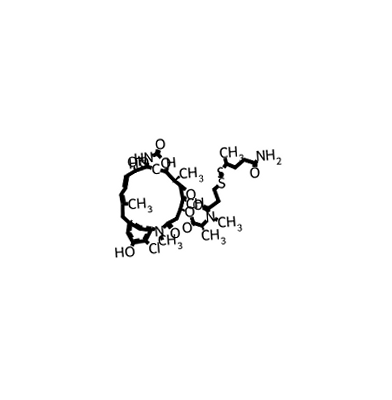 C/C1=C\C=C\[C@@H](O)[C@@]2(O)C[C@H](OC(=O)N2)[C@@H](C)C2O[C@@]2(C)[C@@H](OC(=O)[C@H](C)N(C)C(=O)CCSSC(C)CCC(N)=O)CC(=O)N(C)c2cc(cc(O)c2Cl)C1